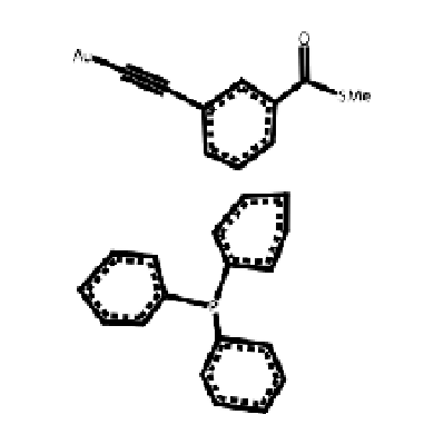 CSC(=O)c1cccc(C#[C][Au])c1.c1ccc(P(c2ccccc2)c2ccccc2)cc1